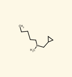 CCCCCN(C)CC1CC1